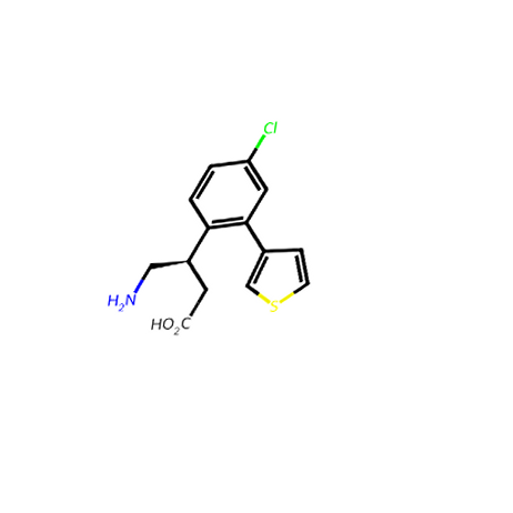 NC[C@H](CC(=O)O)c1ccc(Cl)cc1-c1ccsc1